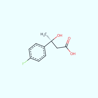 C[C@](O)(CC(=O)O)c1ccc(F)cc1